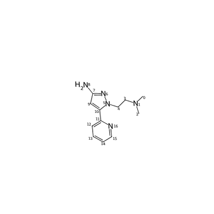 CN(C)CCn1nc(N)cc1-c1ccccn1